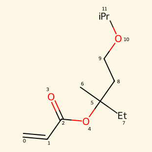 C=CC(=O)OC(C)(CC)CCOC(C)C